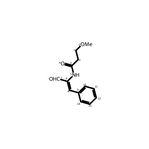 COCCC(=O)NC([C]=O)=Cc1ccccc1